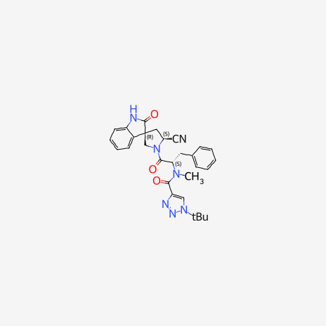 CN(C(=O)c1cn(C(C)(C)C)nn1)[C@@H](Cc1ccccc1)C(=O)N1C[C@]2(C[C@H]1C#N)C(=O)Nc1ccccc12